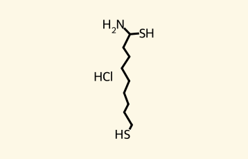 Cl.NC(S)CCCCCCCCS